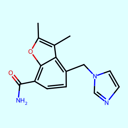 Cc1oc2c(C(N)=O)ccc(Cn3ccnc3)c2c1C